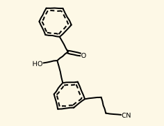 N#CCCc1cccc(C(O)C(=O)c2ccccc2)c1